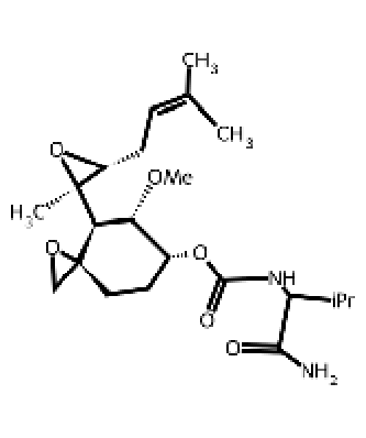 CO[C@@H]1[C@H](OC(=O)NC(C(N)=O)C(C)C)CC[C@]2(CO2)[C@H]1[C@@]1(C)O[C@@H]1CC=C(C)C